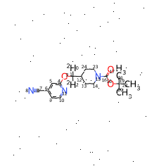 [2H]C([2H])(Oc1cc(C#N)ccn1)C1CCN(C(=O)OC(C)(C)C)CC1